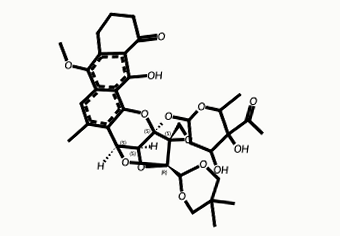 COc1c2c(c(O)c3c4c(c(C)cc13)[C@@H]1O[C@@]3(C5OCC(C)(C)CO5)O[C@@H]1[C@@](OC1CC(O)C(O)(C(C)=O)C(C)O1)(O4)[C@@]31CO1)C(=O)CCC2